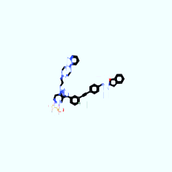 CS(=O)(=O)N1CCc2c(c(-c3ccc(Cl)c(C#Cc4ccc(CN[C@@H]5Cc6ccccc6[C@@H]5O)cc4)c3)nn2CCCN2CCN(c3ccccn3)CC2)C1